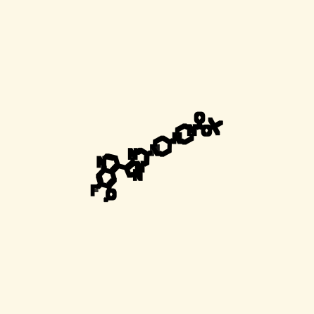 COc1cc2c(-c3cnn4cc(N5CCC(N6CCN(C(=O)OC(C)(C)C)CC6)CC5)cnc34)ccnc2cc1F